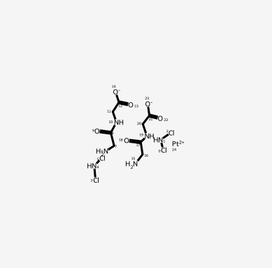 ClNCl.ClNCl.NCC(=O)NCC(=O)[O-].NCC(=O)NCC(=O)[O-].[Pt+2]